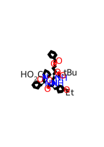 CCOc1ccc(C[C@H](NC(=O)[C@H](CCCCOC(=O)c2ccccc2)NC(=O)OC(C)(C)C)C(=O)N[C@@H](Cc2ccccc2)C(=O)N2CCCC[C@@H]2C(=O)O)cc1